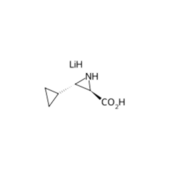 O=C(O)[C@@H]1N[C@H]1C1CC1.[LiH]